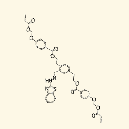 C=CC(=O)OCOc1ccc(C(=O)OCCc2ccc(CCOC(=O)c3ccc(OCOC(=O)C=C)cc3)c(/C=N/Nc3nc4ccccc4s3)c2)cc1